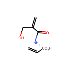 C=C(CO)C(N)=O.C=CC(=O)O